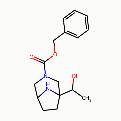 CC(O)C12CCC(CN(C(=O)OCc3ccccc3)C1)N2